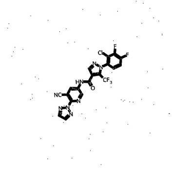 N#Cc1cc(NC(=O)c2cnn(-c3ccc(F)c(F)c3Cl)c2C(F)(F)F)cnc1-n1nccn1